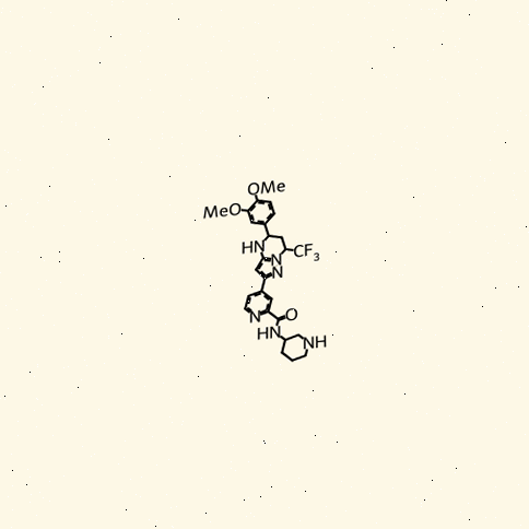 COc1ccc(C2CC(C(F)(F)F)n3nc(-c4ccnc(C(=O)NC5CCCNC5)c4)cc3N2)cc1OC